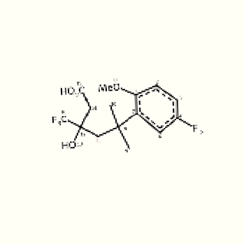 COc1ccc(F)cc1C(C)(C)CC(O)(CC(=O)O)C(F)(F)F